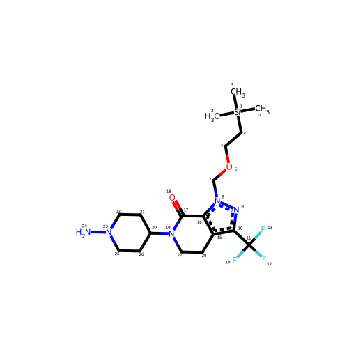 C[Si](C)(C)CCOCn1nc(C(F)(F)F)c2c1C(=O)N(C1CCN(N)CC1)CC2